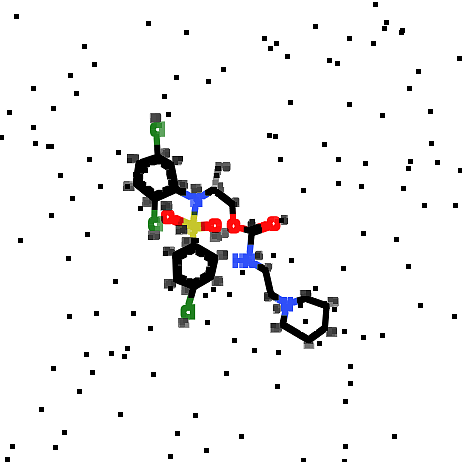 C[C@H](COC(=O)NCCN1CCCCC1)N(c1cc(Cl)ccc1Cl)S(=O)(=O)c1ccc(Cl)cc1